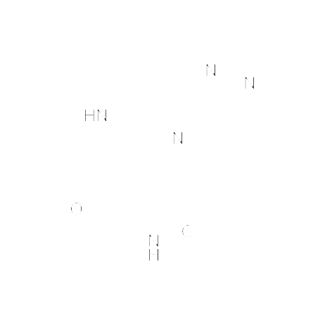 O=C1NCC=C2C=NN=C3CNC1N23